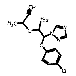 C#CC(C)OC(C(Oc1ccc(Cl)cc1)n1cncn1)C(C)(C)C